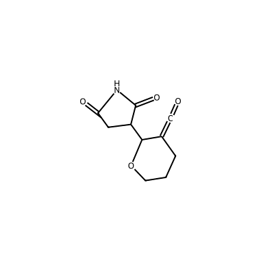 O=C=C1CCCOC1C1CC(=O)NC1=O